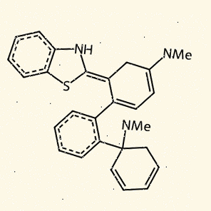 CNC1=CC=C(c2ccccc2C2(NC)C=CC=CC2)C(=C2Nc3ccccc3S2)C1